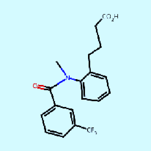 CN(C(=O)c1cccc(C(F)(F)F)c1)c1ccccc1CCCC(=O)O